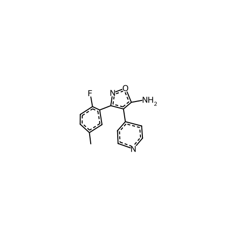 Cc1ccc(F)c(-c2noc(N)c2-c2ccncc2)c1